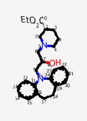 CCOC(=O)[C@@H]1CCCN(CC(O)CN2c3ccccc3CCc3ccccc32)C1